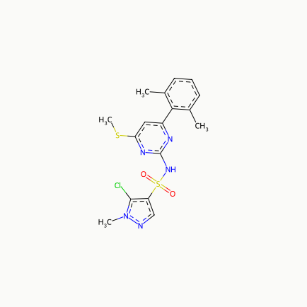 CSc1cc(-c2c(C)cccc2C)nc(NS(=O)(=O)c2cnn(C)c2Cl)n1